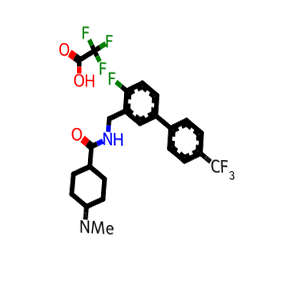 CNC1CCC(C(=O)NCc2cc(-c3ccc(C(F)(F)F)cc3)ccc2F)CC1.O=C(O)C(F)(F)F